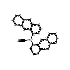 C#C[Si](c1cccc2cc3ccccc3cc12)c1cccc2cc3ccccc3cc12